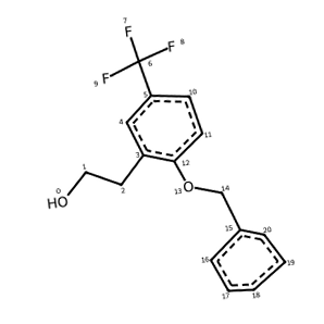 OCCc1cc(C(F)(F)F)ccc1OCc1ccccc1